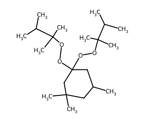 CC1CC(C)(C)CC(OOC(C)(C)C(C)C)(OOC(C)(C)C(C)C)C1